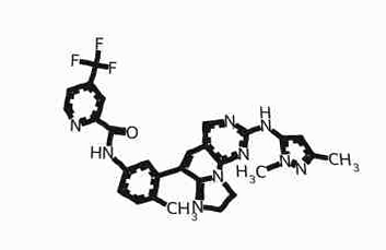 Cc1cc(Nc2ncc3c(n2)N2CCN=C2C(c2cc(NC(=O)c4cc(C(F)(F)F)ccn4)ccc2C)=C3)n(C)n1